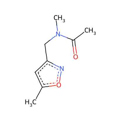 CC(=O)N(C)Cc1cc(C)on1